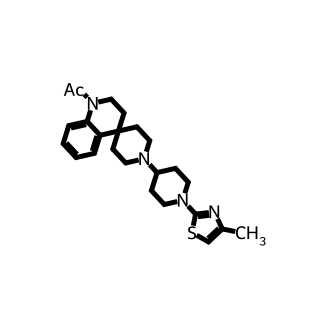 CC(=O)N1CCC2(CCN(C3CCN(c4nc(C)cs4)CC3)CC2)c2ccccc21